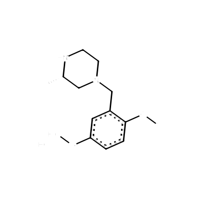 CCOc1ccc(OC(F)(F)F)cc1CN1CCN[C@@H](C)C1.Cl